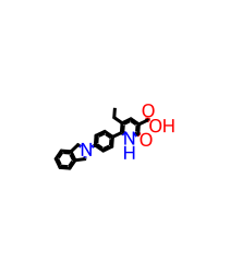 CCc1cc(C(=O)O)c(=O)[nH]c1-c1ccc(N2Cc3ccccc3C2)cc1